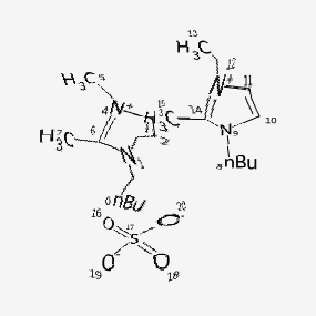 CCCCn1cc[n+](C)c1C.CCCCn1cc[n+](C)c1C.O=S(=O)([O-])[O-]